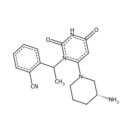 CC(c1ccccc1C#N)n1c(N2CCC[C@@H](N)C2)cc(=O)[nH]c1=O